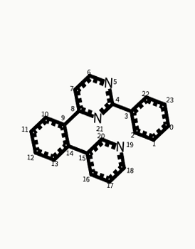 c1ccc(-c2nccc(-c3ccccc3-c3cccnc3)n2)cc1